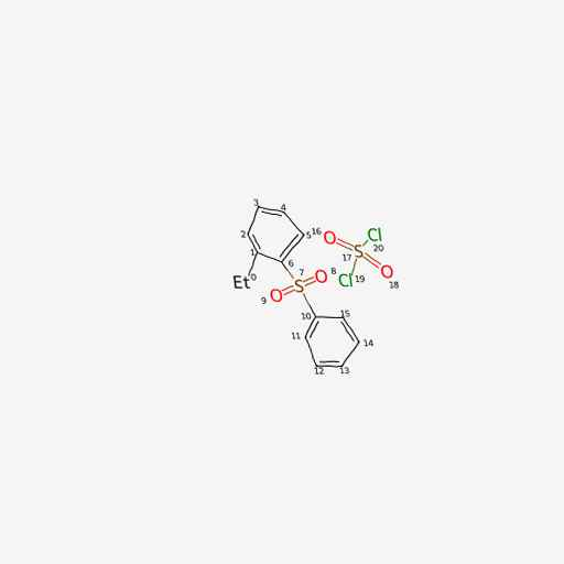 CCc1ccccc1S(=O)(=O)c1ccccc1.O=S(=O)(Cl)Cl